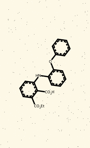 CCOC(=O)c1cccc(Nc2ccccc2Oc2ccccc2)c1C(=O)O